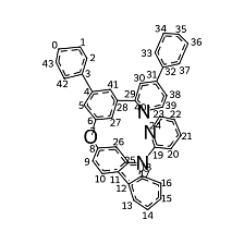 c1ccc(-c2cc(Oc3ccc4c5ccccc5n(-c5ccccn5)c4c3)cc(-c3cc(-c4ccccc4)ccn3)c2)cc1